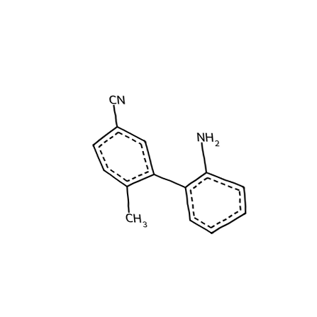 Cc1ccc(C#N)cc1-c1ccccc1N